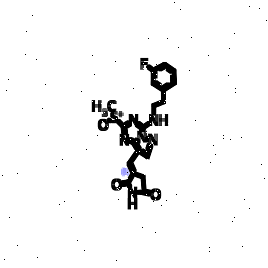 C[S+]([O-])c1nc(NCCc2cccc(F)c2)n2ncc(/C=C3\CC(=O)NC3=O)c2n1